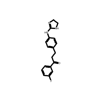 O=C(CCc1ccc(NC2=NCCN2)cc1)c1cccc(F)c1